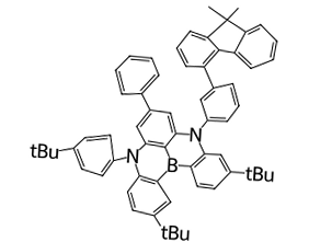 CC(C)(C)c1ccc(N2c3ccc(C(C)(C)C)cc3B3c4ccc(C(C)(C)C)cc4N(c4cccc(-c5cccc6c5-c5ccccc5C6(C)C)c4)c4cc(-c5ccccc5)cc2c43)cc1